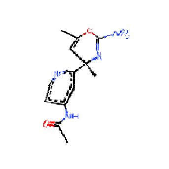 CC(=O)Nc1ccnc([C@]2(C)C=C(C)OC(N)=N2)c1